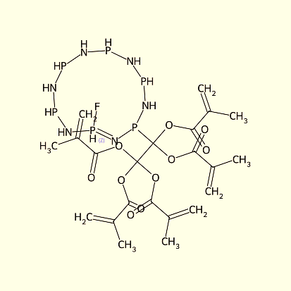 C=C(C)C(=O)OC(OC(=O)C(=C)C)(OC(=O)C(=C)C)C(OC(=O)C(=C)C)(OC(=O)C(=C)C)P1/N=[PH](\F)NPNPNPNPN1